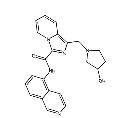 O=C(Nc1cccc2cnccc12)c1nc(CN2CCC(O)C2)c2ccccn12